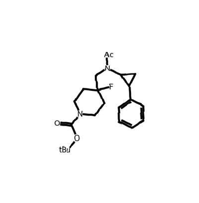 CC(=O)N(CC1(F)CCN(C(=O)OC(C)(C)C)CC1)C1CC1c1ccccc1